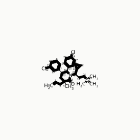 C=CC[C@@]1(C)C[C@H](c2cccc(Cl)c2)[C@@H](c2ccc(Cl)cc2)N([C@H](CCS(C)(C)C)C2CC2)C1=O